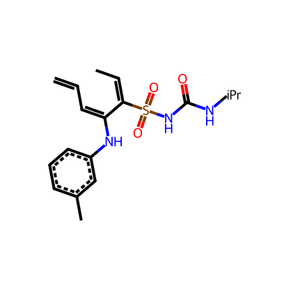 C=C/C=C(Nc1cccc(C)c1)\C(=C/C)S(=O)(=O)NC(=O)NC(C)C